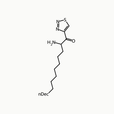 CCCCCCCCCCCCCCCCCC(N)C(=O)c1csnn1